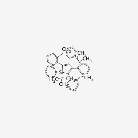 CCc1ccccc1C1=C(c2ccccc2CC)[Si](c2ccccc2)(C(C)(C)C)C(c2ccccc2CC)=C1c1ccccc1CC